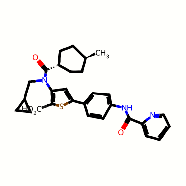 C[C@H]1CC[C@H](C(=O)N(CC2CC2)c2cc(-c3ccc(NC(=O)c4ccccn4)cc3)sc2C(=O)O)CC1